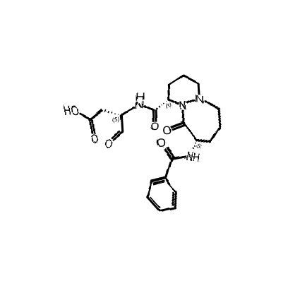 O=C[C@H](CC(=O)O)NC(=O)[C@@H]1CCCN2CCC[C@H](NC(=O)c3ccccc3)C(=O)N12